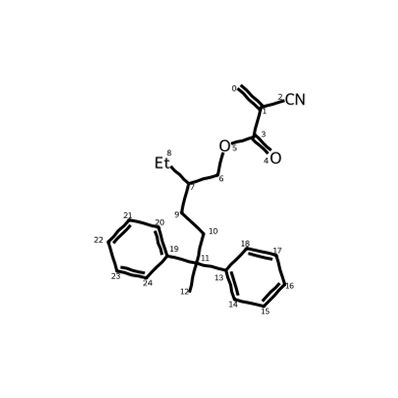 C=C(C#N)C(=O)OCC(CC)CCC(C)(c1ccccc1)c1ccccc1